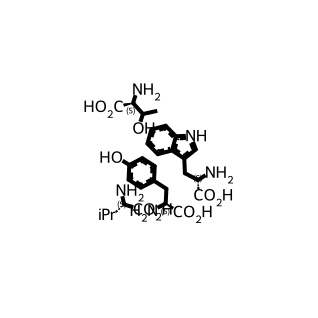 CC(C)[C@H](N)C(=O)O.CC(O)[C@H](N)C(=O)O.N[C@@H](Cc1c[nH]c2ccccc12)C(=O)O.N[C@@H](Cc1ccc(O)cc1)C(=O)O